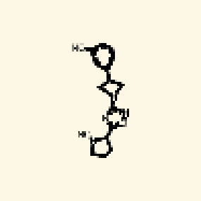 N#Cc1cccc(C2CN(c3noc(C4CCCN4C#N)n3)C2)c1